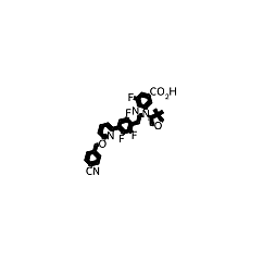 CC1(C)COC[C@H]1n1c(Cc2c(F)cc(-c3cccc(OCc4ccc(C#N)cc4)n3)c(F)c2F)nc2c(F)cc(C(=O)O)cc21